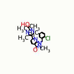 Cc1ccc(Cl)c(Cn2c3nc(-c4cnc(C(C)(C)O)nc4C)ccc3c(=O)n2C)c1